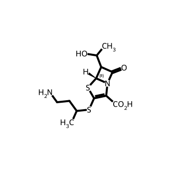 CC(CCN)SC1=C(C(=O)O)N2C(=O)C(C(C)O)[C@H]2S1